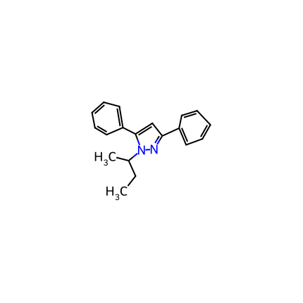 CCC(C)n1nc(-c2ccccc2)cc1-c1ccccc1